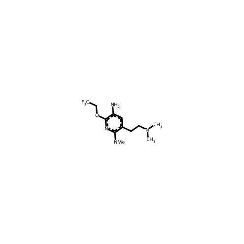 CNc1nc(OCC(F)(F)F)c(N)cc1CCN(C)C